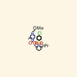 CCC[C@H]1CCC[C@@H](COC(=O)N2CCN(CCOC)C[C@@H]2C)N1S(=O)(=O)c1ccc(Cl)cc1